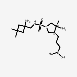 C[C@]1(N)CN(S(=O)(=O)NCC2(N)CC(F)(F)C2)C[C@@H]1CCCB(O)O